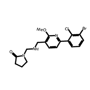 COc1nc(-c2cccc(Br)c2Cl)ccc1CNCN1CCCC1=O